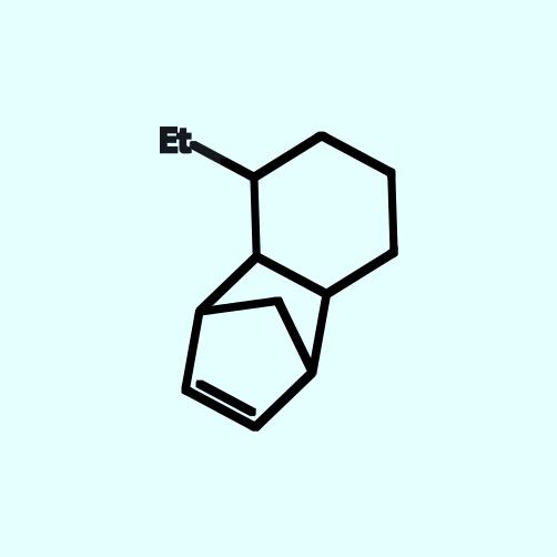 CCC1CCCC2C3C=CC(C3)C12